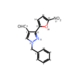 O=Cc1cn(Cc2ccccc2)nc1-c1ccc([N+](=O)[O-])o1